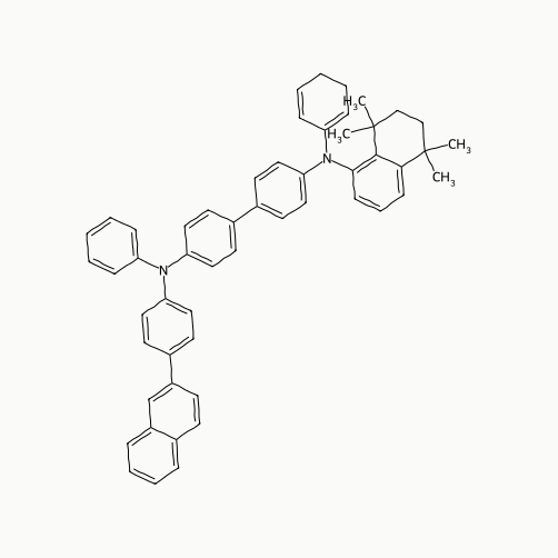 CC1(C)CCC(C)(C)c2c(N(C3=CCCC=C3)c3ccc(-c4ccc(N(c5ccccc5)c5ccc(-c6ccc7ccccc7c6)cc5)cc4)cc3)cccc21